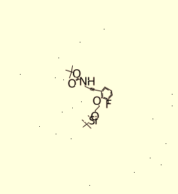 CC(C)(C)OC(=O)NCC#Cc1cccc(F)c1OCCO[Si](C)(C)C(C)(C)C